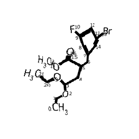 CCOC(CC(Cc1cc(F)cc(Br)c1)C(=O)OC)OCC